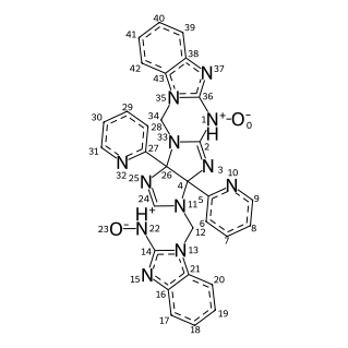 [O-][NH+]1C2=NC3(c4ccccn4)N4Cn5c(nc6ccccc65)[NH+]([O-])C4=NC3(c3ccccn3)N2Cn2c1nc1ccccc12